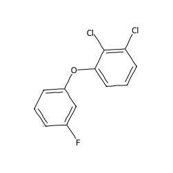 Fc1[c]ccc(Oc2cccc(Cl)c2Cl)c1